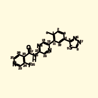 Cc1ccc(-c2nncs2)cc1-c1cnc(NC(=O)c2ccncc2F)cn1